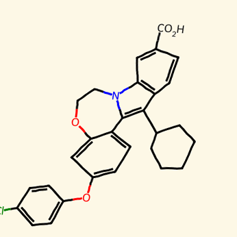 O=C(O)c1ccc2c(C3CCCCC3)c3n(c2c1)CCOc1cc(Oc2ccc(Cl)cc2)ccc1-3